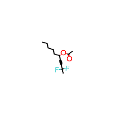 CCCCCC(C#CC(C)(F)F)OC(C)=O